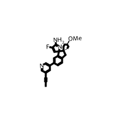 CC#Cc1cncc(-c2ccc3c(c2)C2(C=C(F)C(N)=N2)[C@]2(CC[C@H](OC)CC2)C3)c1